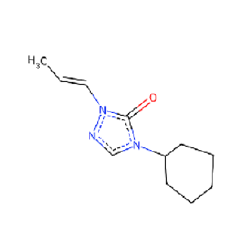 C/C=C/n1ncn(C2CCCCC2)c1=O